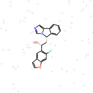 O[C@H](C[C@H]1c2ccccc2-c2cncn21)c1cc2ccoc2cc1F